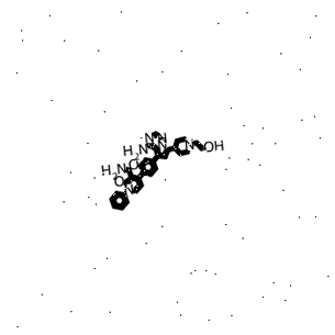 NC(=O)c1c(-c2ccc(-c3cc(C4CCN(CCO)CC4)n4ncnc(N)c34)cc2)ccn(-c2ccccc2)c1=O